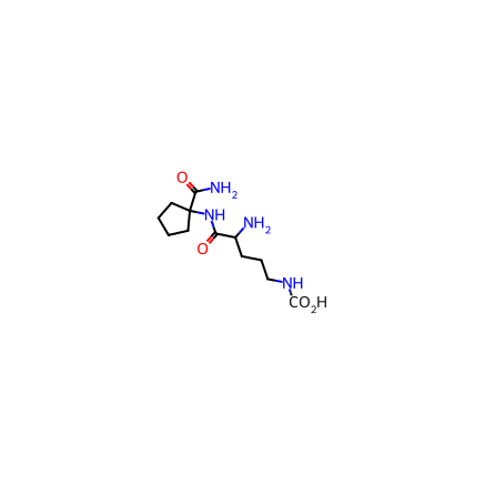 NC(=O)C1(NC(=O)C(N)CCCNC(=O)O)CCCC1